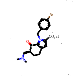 CCOC(=O)c1cc2c(n1Cc1ccc(Br)cc1)C(=O)C(=CN(C)C)CC2